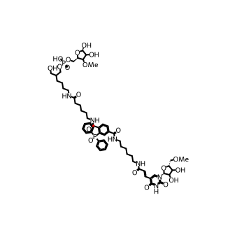 COC[C@H]1O[C@@H](n2cc(/C=C/C(=O)NCCCCCCNC(=O)c3ccc(C(=O)NCCCCCC(=O)NCCCCC(CO)COP(=O)(O)OC[C@H]4O[C@@H](O)C(O)C4OC)c(P(=O)(c4ccccc4)c4ccccc4)c3)c(=O)[nH]c2=O)C(O)C1O